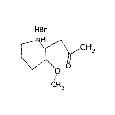 Br.COC1CCCNC1CC(C)=O